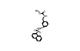 CC(C)(C)OC(=O)NCc1cccc(CNS(=O)(=O)c2cccc3ccccc23)c1